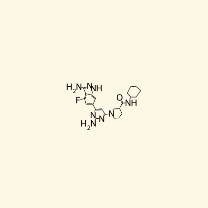 Nc1nc(-c2cc(F)c3c(N)n[nH]c3c2)cc(N2CCC[C@H](C(=O)NC3CCCCC3)C2)n1